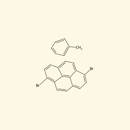 Brc1ccc2ccc3c(Br)ccc4ccc1c2c43.Cc1ccccc1